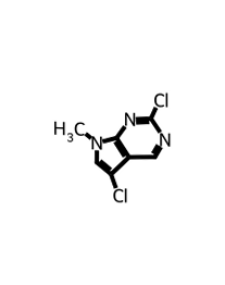 Cn1cc(Cl)c2cnc(Cl)nc21